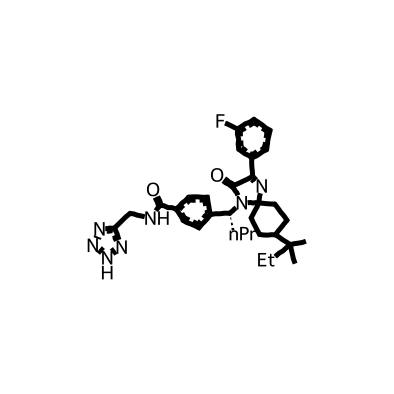 CCC[C@H](c1ccc(C(=O)NCc2nn[nH]n2)cc1)N1C(=O)C(c2cccc(F)c2)=NC12CCC(C(C)(C)CC)CC2